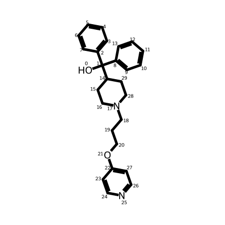 OC(c1ccccc1)(c1ccccc1)C1CCN(CCCOc2ccncc2)CC1